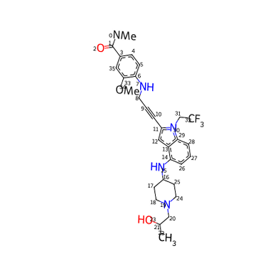 CNC(=O)c1ccc(NCC#Cc2cc3c(NC4CCN(CC(C)O)CC4)cccc3n2CC(F)(F)F)c(OC)c1